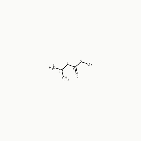 CN(C)CC(=O)C[O]